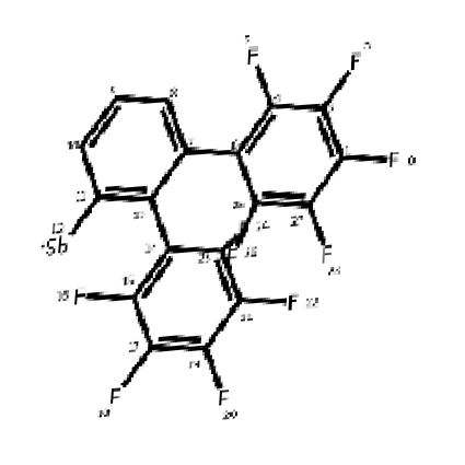 Fc1c(F)c(F)c(-c2ccc[c]([Sb])c2-c2c(F)c(F)c(F)c(F)c2F)c(F)c1F